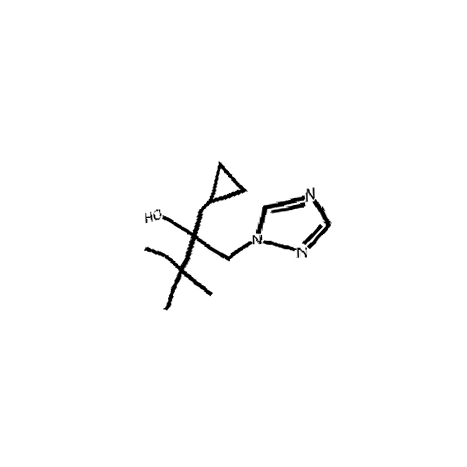 CC(C)(C)C(O)(Cn1cncn1)C1CC1